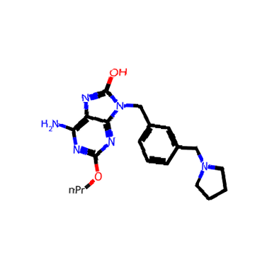 CCCOc1nc(N)c2nc(O)n(Cc3cccc(CN4CCCC4)c3)c2n1